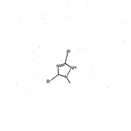 CN1NC(Br)=NC1Br